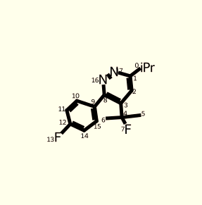 CC(C)c1cc(C(C)(C)F)c(-c2ccc(F)cc2)nn1